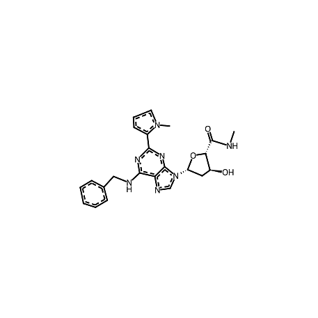 CNC(=O)[C@H]1O[C@@H](n2cnc3c(NCc4ccccc4)nc(-c4cccn4C)nc32)C[C@@H]1O